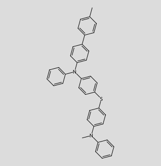 Cc1ccc(-c2ccc(N(c3ccccc3)c3ccc(Sc4ccc(N(C)c5ccccc5)cc4)cc3)cc2)cc1